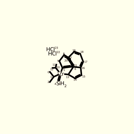 C[CH](C)[Zr](=[SiH2])([C]1=CC=CC1)([CH](C)C)[CH]1C=Cc2ccccc21.Cl.Cl